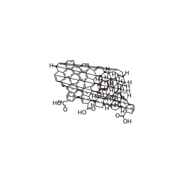 O=C(O)C1=C2C3c4c(c5c([14C](=O)O)cc6c7c8c9c%10c%11c%12c%13c%14ccc%15c%16ccc%17c%18c%19c%20c(c4c4c5c6c9c5c%11c(c%13%15)c(c%18%16)c%20c45)C4=C5C%19[C@@H]6C%17=CC[C@H]9[C@H]%11CC[C@H]%13[C@H]%15CC=C%14C%14C%12C%12=C%10C%10C8C(C(C(=O)O)C=7)[C@H]7CC[C@H]8[C@H]%16CC[C@@H]2[C@@H]2[C@H]%16[C@@H]%16[C@@H]%17[C@H]8[C@H]7[C@H]%10[C@@H]7[C@H]%12[C@H]([C@H]%14%15)[C@@H]8[C@H]%13[C@H]%11[C@@H]%10[C@@H]([C@H]5[C@@H]([C@H]%16[C@@H]%10[C@@H]8[C@H]%177)[C@@H]2[C@@H]43)[C@H]96)=C1